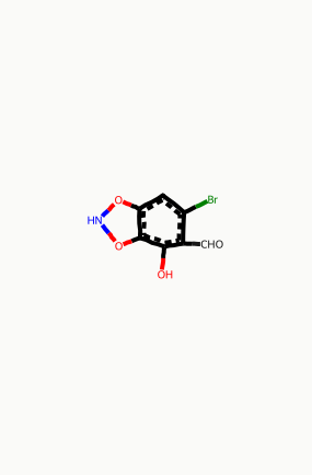 O=Cc1c(Br)cc2c(c1O)ONO2